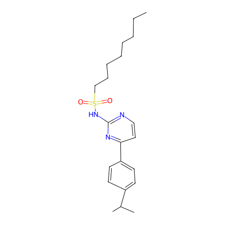 CCCCCCCCS(=O)(=O)Nc1nccc(-c2ccc(C(C)C)cc2)n1